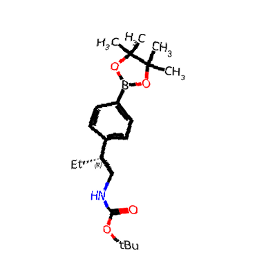 CC[C@@H](CNC(=O)OC(C)(C)C)c1ccc(B2OC(C)(C)C(C)(C)O2)cc1